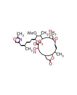 COC(/C(C)=C/C=C/C(C)=C\c1coc(C)n1)C(C)C1CC(O)C2(C)OC2/C=C/C(C)C2CC(CCC(O)C(=O)O1)CC(=O)O2